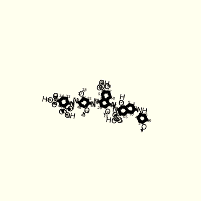 COc1ccc(Nc2ccc3c(O)c(N=Nc4c(OC)cc(N=Nc5cc(OC)c(N=Nc6ccc(S(=O)(=O)O)cc6S(=O)(=O)O)cc5OC)c5cc(S(=O)(=O)O)ccc45)c(S(=O)(=O)O)cc3c2)cc1